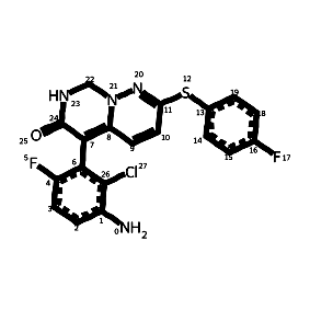 Nc1ccc(F)c(C2=C3C=CC(Sc4ccc(F)cc4)=NN3CNC2=O)c1Cl